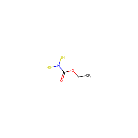 O=C(OCC(F)(F)F)N(S)S